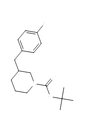 CC(C)(C)OC(=O)N1CCCC(Cc2ccc(F)cc2)C1